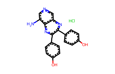 Cl.Nc1cncc2nc(-c3ccc(O)cc3)c(-c3ccc(O)cc3)nc12